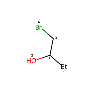 [CH2]CC(O)CBr